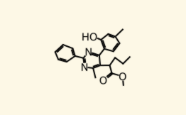 CCCC(C(=O)OC)c1c(C)nc(-c2ccccc2)nc1-c1ccc(C)cc1O